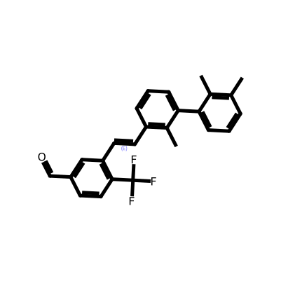 Cc1cccc(-c2cccc(/C=C/c3cc(C=O)ccc3C(F)(F)F)c2C)c1C